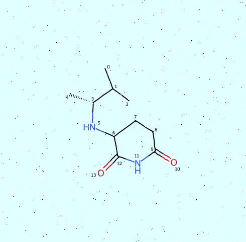 CC(C)[C@@H](C)NC1CCC(=O)NC1=O